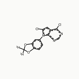 [2H]C1([2H])Oc2ccc(-n3c(Cl)cc4c(Cl)ncnc43)cc2O1